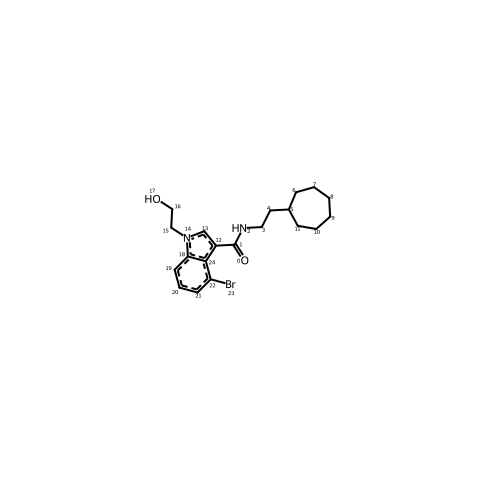 O=C(NCCC1CCCCCC1)c1cn(CCO)c2cccc(Br)c12